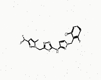 Cc1cc(C(F)F)nn1Cc1nnc(Nc2ccn(Cc3c(F)cccc3Cl)n2)s1